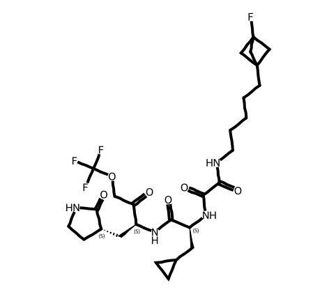 O=C(NCCCCCC12CC(F)(C1)C2)C(=O)N[C@@H](CC1CC1)C(=O)N[C@@H](C[C@@H]1CCNC1=O)C(=O)COC(F)(F)F